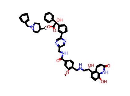 COc1cc(C(=O)NCc2cnc(-c3cccc(C(O)(C(=O)OCC4CCN(Cc5ccccc5)CC4)c4ccccc4)c3)cn2)ccc1CNC[C@H](O)c1ccc(O)c2[nH]c(=O)ccc12